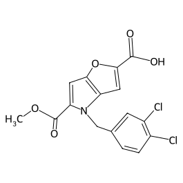 COC(=O)c1cc2oc(C(=O)O)cc2n1Cc1ccc(Cl)c(Cl)c1